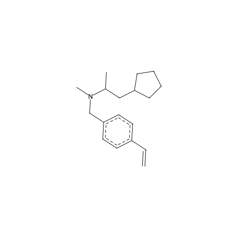 C=Cc1ccc(CN(C)C(C)CC2CCCC2)cc1